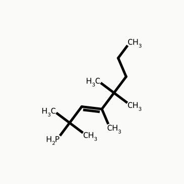 CCCC(C)(C)/C(C)=C/C(C)(C)P